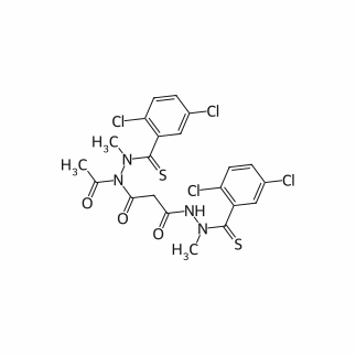 CC(=O)N(C(=O)CC(=O)NN(C)C(=S)c1cc(Cl)ccc1Cl)N(C)C(=S)c1cc(Cl)ccc1Cl